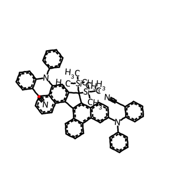 C[Si](C)(C)C1([Si](C)(C)C)c2cc(N(c3ccccc3)c3ccccc3C#N)c3ccccc3c2-c2c1c1ccc(N(c3ccccc3)c3ccccc3C#N)cc1c1ccccc21